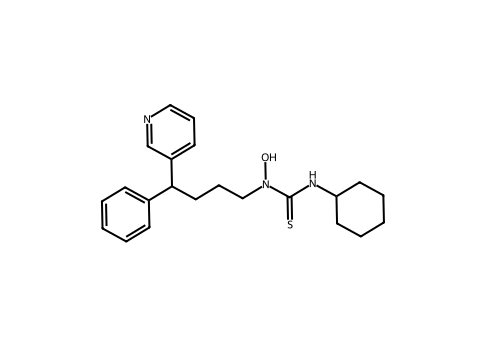 ON(CCCC(c1ccccc1)c1cccnc1)C(=S)NC1CCCCC1